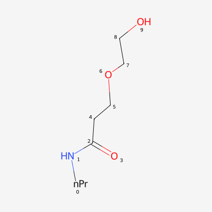 CCCNC(=O)CCOCCO